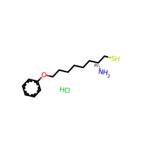 Cl.N[C@@H](CS)CCCCCCOc1ccccc1